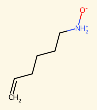 C=CCCCC[NH2+][O-]